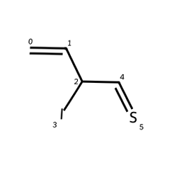 C=CC(I)C=S